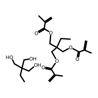 C=C(C)C(=O)OCC(CC)(COC(=O)C(=C)C)COC(=O)C(=C)C.CCC(CO)(CO)CO